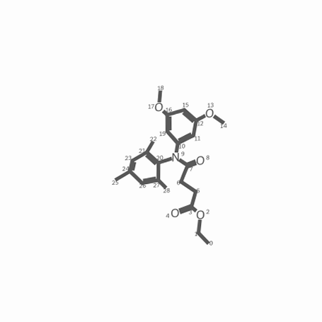 CCOC(=O)CCC(=O)N(c1cc(OC)cc(OC)c1)c1c(C)cc(C)cc1C